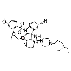 CCOc1cc(OC)ccc1S(=O)(=O)N1C(=O)C(NC(=O)N2CCN(C3CCN(CC)CC3)CC2)(c2cccnc2OCC)c2cc(C#N)ccc21